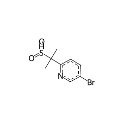 CC(C)(c1ccc(Br)cn1)[SH](=O)=O